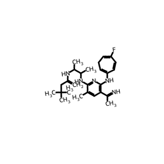 C=C(CC(C)(C)C)NC(C)C(C)Nc1nc(NC2=CCC=C(F)C=C2)c(C(C)=N)cc1C